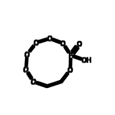 O=P1(O)OCCOOOOOO1